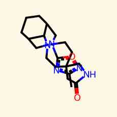 Cc1noc(N2CC3CCCC(C2)C3N2CCC3(CC2)CNC(=O)C3)n1